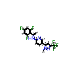 C=C(Nc1ccc(-c2cc(C(F)(F)F)nn2C)cn1)c1c(F)cc(F)cc1F